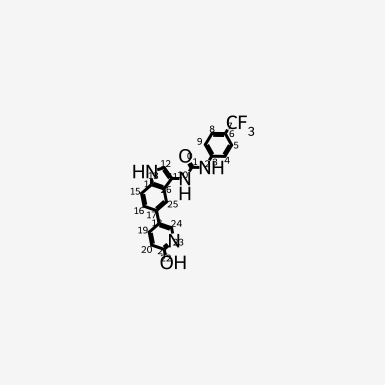 O=C(Nc1ccc(C(F)(F)F)cc1)Nc1c[nH]c2ccc(-c3ccc(O)nc3)cc12